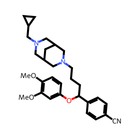 COc1ccc(OC(CCCN2CC3CC(C2)CN(CC2CC2)C3)c2ccc(C#N)cc2)cc1OC